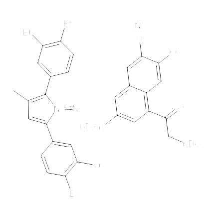 CCCCCCCCCCCC(=O)c1cc(CCCCC)cc2cc([O-])c([O-])cc12.CCc1ccc(C2=CC(C)=C(c3ccc(CC)c(CC)c3)[N+]2=[N-])cc1CC.[Ni]